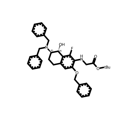 CC(C)(C)OC(=O)CNc1c(OCc2ccccc2)cc2c(c1F)[C@@H](O)[C@H](N(Cc1ccccc1)Cc1ccccc1)CC2